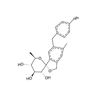 CCCc1ccc(Cc2cc3c(cc2C)CO[C@]32O[C@H](C)[C@@H](O)[C@H](O)[C@H]2O)cc1